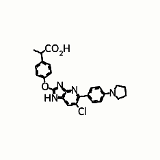 CC(C(=O)O)c1ccc(Oc2nc3nc(-c4ccc(N5CCCC5)cc4)c(Cl)cc3[nH]2)cc1